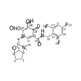 CN1C2CCC(C2)OC1Cn1cc(C(=O)NCc2c(F)cc(F)cc2F)c(=O)c(O)c1C=O